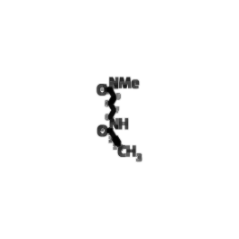 CC#CC(=O)NCC/C=C/C(=O)NC